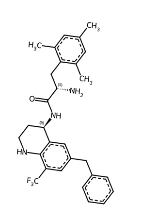 Cc1cc(C)c(C[C@H](N)C(=O)N[C@@H]2CCNc3c2cc(Cc2ccccc2)cc3C(F)(F)F)c(C)c1